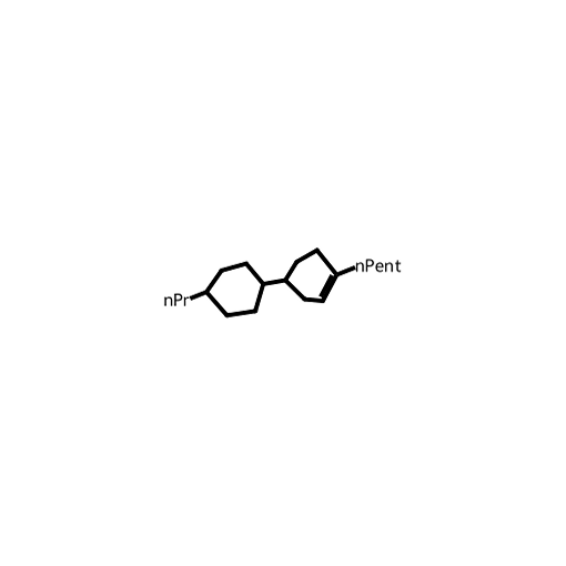 CCCCCC1=CCC(C2CCC(CCC)CC2)CC1